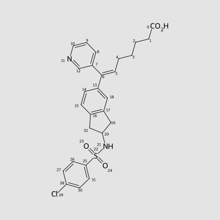 O=C(O)CCCCC=C(c1cccnc1)c1ccc2c(c1)CC(NS(=O)(=O)c1ccc(Cl)cc1)C2